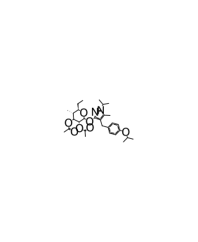 CC[C@H]1O[C@@H](Oc2nn(C(C)C)c(C)c2Cc2ccc(OC(C)C)cc2)[C@H](OC(C)=O)[C@@H](OC(C)=O)[C@@H]1C